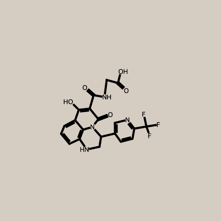 O=C(O)CNC(=O)c1c(O)c2cccc3c2n(c1=O)C(c1ccc(C(F)(F)F)nc1)CN3